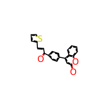 O=C(C=Cc1cccs1)c1ccc(-c2cc(=O)oc3ccccc23)cc1